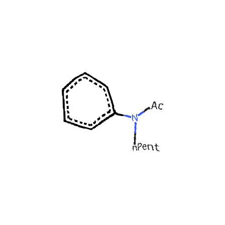 CCCCCN(C(C)=O)c1ccccc1